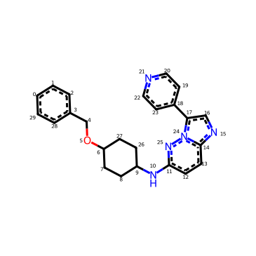 c1ccc(COC2CCC(Nc3ccc4ncc(-c5ccncc5)n4n3)CC2)cc1